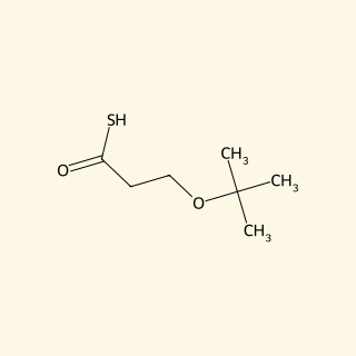 CC(C)(C)OCCC(=O)S